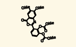 COC(=O)Oc1cccc(-c2nc3cc(OC)c(OC)cc3c(=O)o2)c1OC(=O)OC